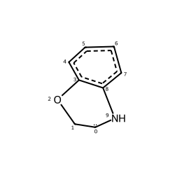 [C]1COc2ccccc2N1